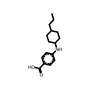 CCCC1CCC(Nc2ccc(C(=O)O)cc2)CC1